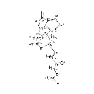 CC(=O)SNC(=O)NCC1C[C@@H]2c3cccc4[nH]cc(c34)C[C@H]2N(C)C1